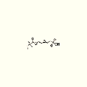 CCC(C)(C)C(=O)OCCOCCS(=O)(=O)O